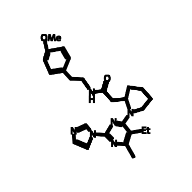 CCc1c(C)nc(-n2ccnc2)nc1N1CCCCC1CC(=O)NCCc1ccc(OC)cc1